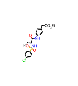 CCOC(=O)Cc1ccc(NC(=O)[C@H](CC(C)C)NS(=O)(=O)c2ccc(Cl)cc2)cc1